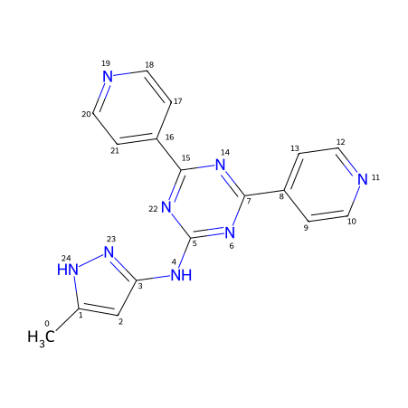 Cc1cc(Nc2nc(-c3ccncc3)nc(-c3ccncc3)n2)n[nH]1